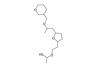 CC(S)OCCC1CCC(CC(C)OCC2CCCOC2)O1